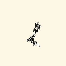 NC(=O)c1ccc2c(c1)nc(OCCOCCCCN(Cc1cc(F)c(OC(F)(F)F)c(F)c1)C(=O)O)c1ccncc12